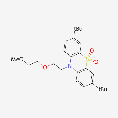 COCCOCCN1c2ccc(C(C)(C)C)cc2S(=O)(=O)c2cc(C(C)(C)C)ccc21